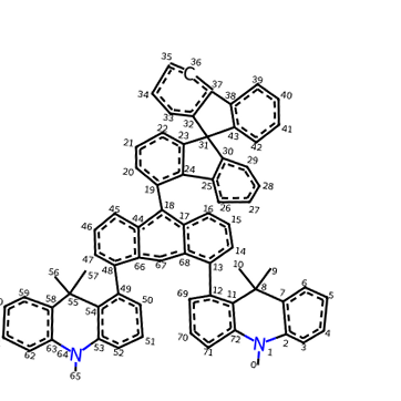 CN1c2ccccc2C(C)(C)c2c(-c3cccc4c(-c5cccc6c5-c5ccccc5C65c6ccccc6-c6ccccc65)c5cccc(-c6cccc7c6C(C)(C)c6ccccc6N7C)c5cc34)cccc21